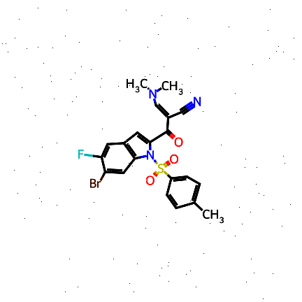 Cc1ccc(S(=O)(=O)n2c(C(=O)/C(C#N)=C/N(C)C)cc3cc(F)c(Br)cc32)cc1